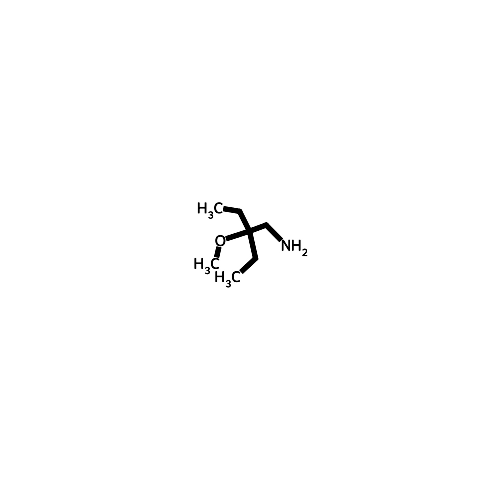 CCC(CC)(CN)OC